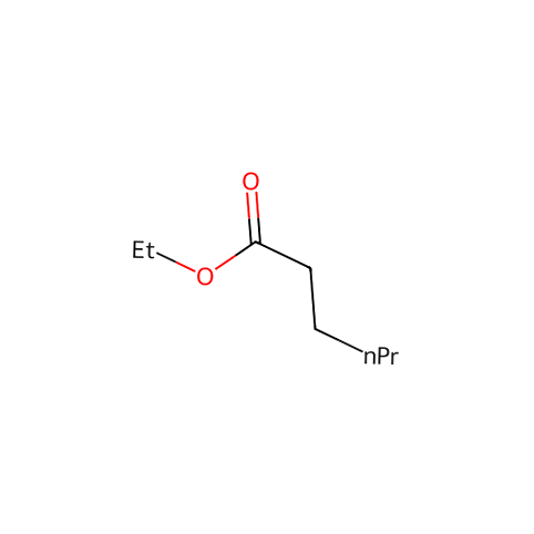 [CH2]CCCCC(=O)OCC